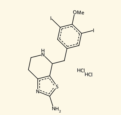 COc1c(I)cc(CC2NCCc3nc(N)sc32)cc1I.Cl.Cl